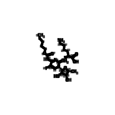 CCCCCOC(=O)Nc1nc(=O)n([C@@H]2O[C@H](C)[C@@H](O)[C@H]2O)cc1F.NCCCCC(N)C(=O)O